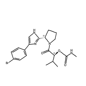 CNC(=O)O[C@H](C(=O)N1CCC[C@H]1c1nc(-c2ccc(Br)cc2)c[nH]1)C(C)C